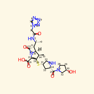 C[C@@H](NC(=O)Cn1cnnn1)[C@H]1C(=O)N2C(C(=O)O)=C(S[C@@H]3CN[C@H](C(=O)N4CC[C@@H](O)C4)C3)[C@H](C)[C@H]12